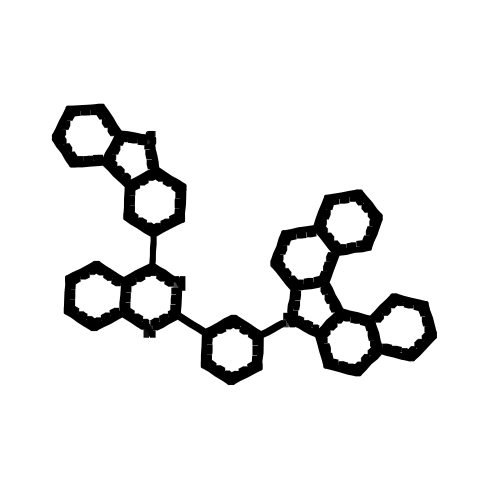 c1cc(-c2nc(-c3ccc4sc5ccccc5c4c3)c3ccccc3n2)cc(-n2c3ccc4ccccc4c3c3c4ccccc4ccc32)c1